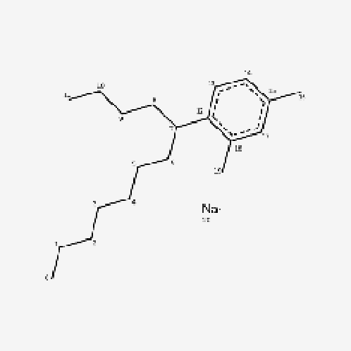 CCCCCCCC(CCCC)c1ccc(C)cc1C.[Na]